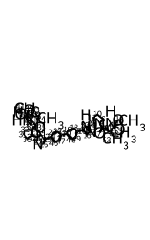 COC(=O)N[C@H](C(=O)N1CCC[C@H]1c1ncc(-c2ccc(-c3ccc(-c4cnc(C5CCCC5C(=O)N(NC(=O)OC)C(C)C)[nH]4)cc3)cc2)[nH]1)C(C)C